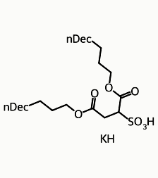 CCCCCCCCCCCCCOC(=O)CC(C(=O)OCCCCCCCCCCCCC)S(=O)(=O)O.[KH]